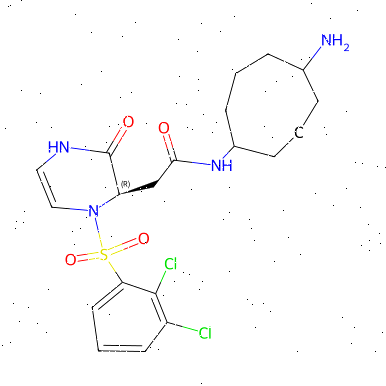 NC1CCCC(NC(=O)C[C@@H]2C(=O)NC=CN2S(=O)(=O)c2cccc(Cl)c2Cl)CCC1